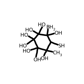 BC1(O)C(S)C(C)(O)C(O)(O)C(O)(O)C1(O)O